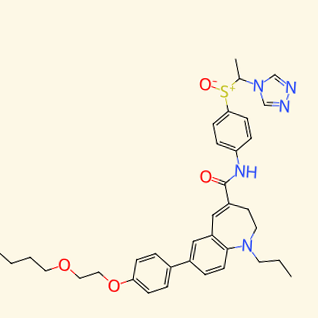 CCCCOCCOc1ccc(-c2ccc3c(c2)C=C(C(=O)Nc2ccc([S+]([O-])C(C)n4cnnc4)cc2)CCN3CCC)cc1